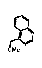 COCc1[c]ccc2ccccc12